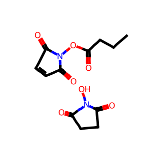 CCCC(=O)ON1C(=O)C=CC1=O.O=C1CCC(=O)N1O